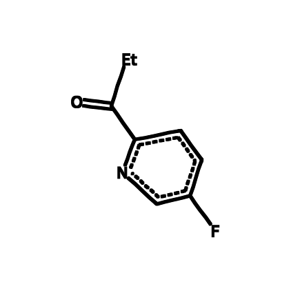 CCC(=O)c1ccc(F)cn1